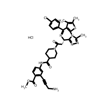 COC(=O)c1ccc(NC(=O)C2CCN(C(=O)C[C@@H]3N=C(c4ccc(Cl)cc4)c4c(sc(C)c4C)-n4c(C)nnc43)CC2)cc1C#CCN.Cl